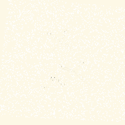 O=S(=O)([O-])[O-].O=S(=O)([O-])[O-].[Fe+2].[Mg+2]